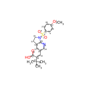 COc1ccc(S(=O)(=O)N2CCc3cc(C=C(C(=O)O)C(C)(C)C)cnc32)cc1